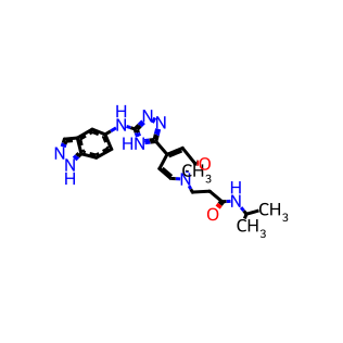 CC(C)NC(=O)CCN(C)/C=C\C(=C/C=O)c1nnc(Nc2ccc3[nH]ncc3c2)[nH]1